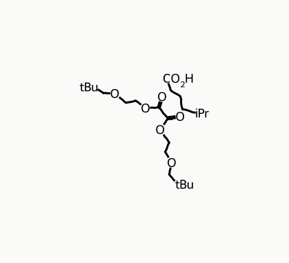 CC(C)(C)COCCOC(=O)C(=O)OCCOCC(C)(C)C.CC(C)CCCC(=O)O